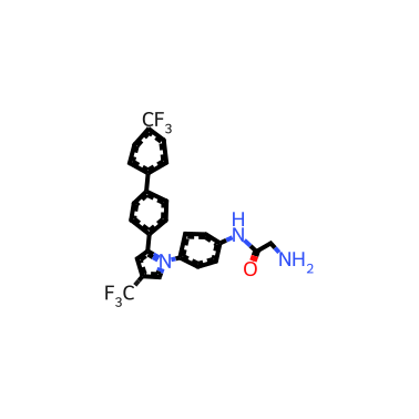 NCC(=O)Nc1ccc(-n2cc(C(F)(F)F)cc2-c2ccc(-c3ccc(C(F)(F)F)cc3)cc2)cc1